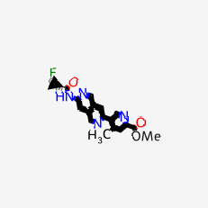 COC(=O)c1cc(C)c(-c2cc3cnc(NC(=O)[C@@H]4C[C@@H]4F)cc3cn2)cn1